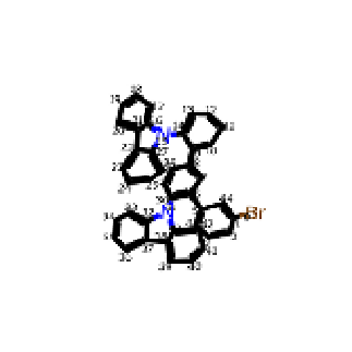 Brc1cccc(-c2cc(-c3ccccc3-n3c4ccccc4c4ccccc43)ccc2-n2c3ccccc3c3ccccc32)c1